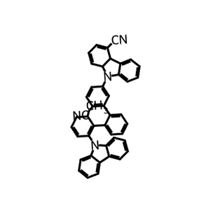 CC1CC=CC(n2c3ccccc3c3ccccc32)=C1c1ccccc1-c1cc(N2c3ccccc3C3C(C#N)=CC=CC32)ccc1C#N